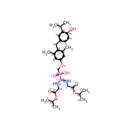 Cc1cc(OCP(=O)(O)N(NCC(=O)OC(C)C)NCC(=O)OC(C)C)cc(C)c1Cc1ccc(O)c(C(C)C)c1